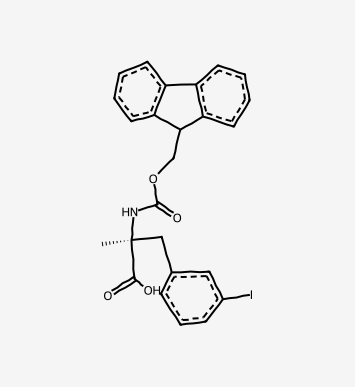 C[C@@](Cc1cccc(I)c1)(NC(=O)OCC1c2ccccc2-c2ccccc21)C(=O)O